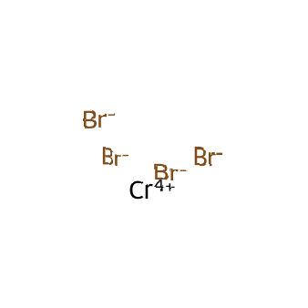 [Br-].[Br-].[Br-].[Br-].[Cr+4]